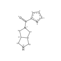 O=C(c1ccsn1)N1CC2CNCC2C1